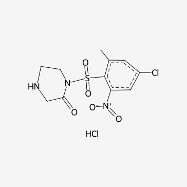 Cc1cc(Cl)cc([N+](=O)[O-])c1S(=O)(=O)N1CCNCC1=O.Cl